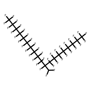 F[C](F)C(F)(C(F)(F)C(F)(F)C(F)(F)C(F)(F)C(F)(F)C(F)(F)C(F)(F)C(F)(F)F)C(F)(F)C(F)(F)C(F)(F)C(F)(F)C(F)(F)C(F)(F)C(F)(F)C(F)(F)C(F)(F)C(F)(F)F